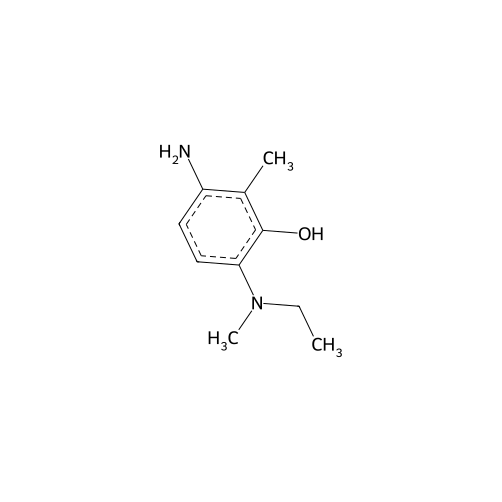 CCN(C)c1ccc(N)c(C)c1O